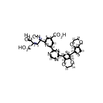 C=C/C(=C\C(=N/C)c1cc(C(=O)O)cc(-c2ncnc(-c3sc(-c4scc5c4OCCO5)c4c3OCCO4)n2)n1)C(=O)O